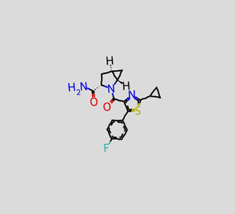 NC(=O)[C@@H]1C[C@H]2C[C@@H]2N1C(=O)c1nc(C2CC2)sc1-c1ccc(F)cc1